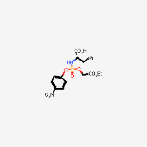 CCOC(=O)COP(=O)(N[C@@H](CC(C)C)C(=O)O)Oc1ccc([N+](=O)[O-])cc1